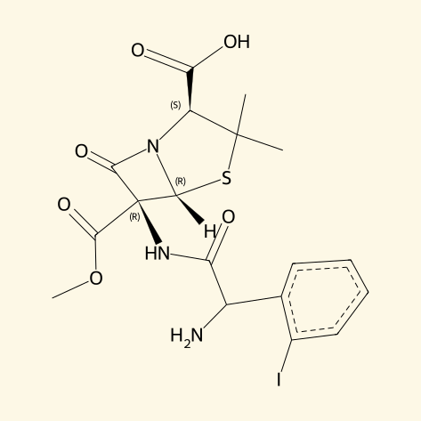 COC(=O)[C@]1(NC(=O)C(N)c2ccccc2I)C(=O)N2[C@@H](C(=O)O)C(C)(C)S[C@@H]21